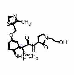 CN/C(C(=O)NC1CCN(CCO)C1=O)=C1/C=C(OCc2scnc2C)C=CC1=N